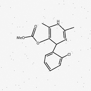 COC(=O)OC1=C(C)NC(C)=NC1c1ccccc1Cl